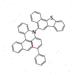 c1ccc(-c2ccc(N(c3ccccc3-c3cccc4ccccc34)c3cc4c5ccccc5sc4c4ccccc34)cc2)cc1